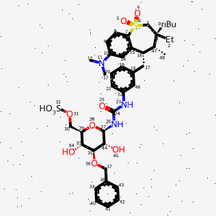 CCCC[C@]1(CC)CS(=O)(=O)c2ccc(N(C)C)cc2[C@@H](Cc2cccc(NC(=O)N[C@@H]3O[C@H](COS(=O)(=O)O)[C@@H](O)[C@H](OCc4ccccc4)[C@H]3O)c2)[C@H]1C